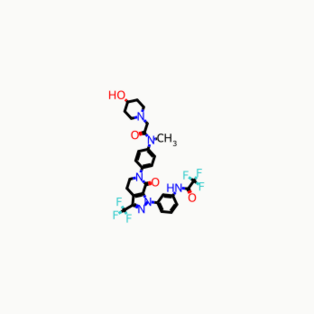 CN(C(=O)CN1CCC(O)CC1)c1ccc(N2CCc3c(C(F)(F)F)nn(-c4cccc(NC(=O)C(F)(F)F)c4)c3C2=O)cc1